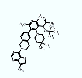 Cc1nc(C)c([C@H](OC(C)(C)C)C(=O)O)c(N2CCC(C)(C)CC2)c1-c1ccc2c(c1)CCN(c1ncnc3c(C)csc13)C2